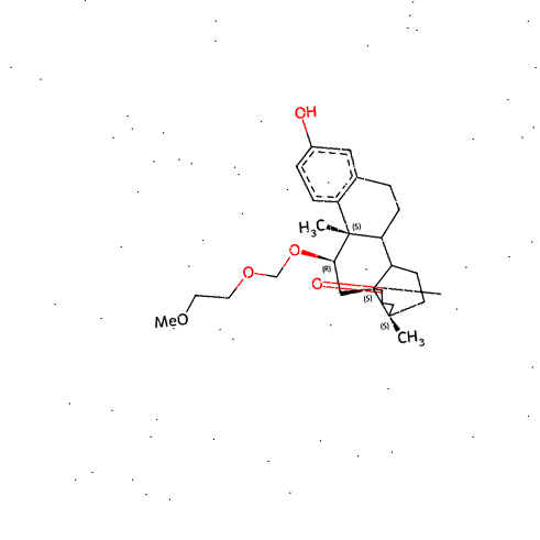 COCCOCO[C@@H]1C[C@@]23C(=O)CC[C@]2(C)CCC3C2CCc3cc(O)ccc3[C@]21C